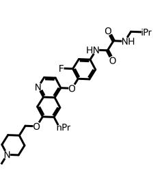 CCCc1cc2c(Oc3ccc(NC(=O)C(=O)NCC(C)C)cc3F)ccnc2cc1OCC1CCN(C)CC1